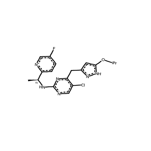 CC(C)Oc1cc(Cc2nc(N[C@@H](C)c3ccc(F)cn3)ncc2Cl)n[nH]1